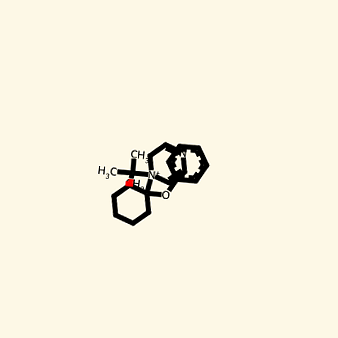 CC(C)(C)[N+]1(C2(Oc3ccccc3)CCCCC2)C=CN=CC1